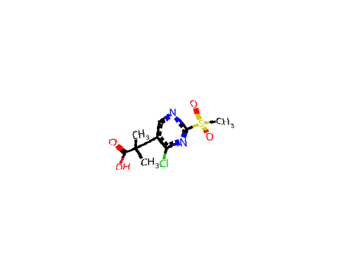 CC(C)(C(=O)O)c1cnc(S(C)(=O)=O)nc1Cl